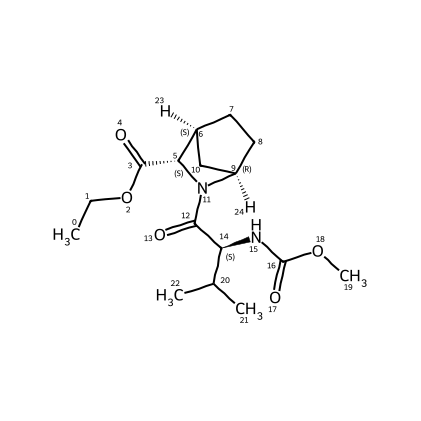 CCOC(=O)[C@@H]1[C@H]2CC[C@H](C2)N1C(=O)[C@@H](NC(=O)OC)C(C)C